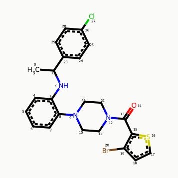 CC(Nc1ccccc1N1CCN(C(=O)c2sccc2Br)CC1)c1ccc(Cl)cc1